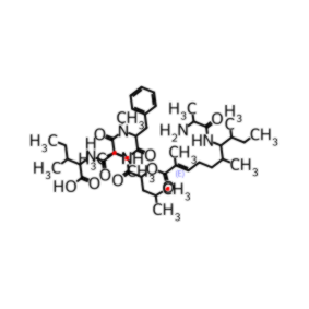 CCC(C)C(NC(=O)CN(C)C(=O)C(Cc1ccccc1)N(C)C(=O)C(C)NC(=O)C(CC(C)C)OC(=O)/C(C)=C/CCC(C)C(NC(=O)C(C)N)C(C)CC)C(=O)O